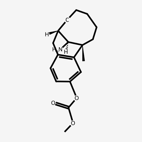 COC(=O)Oc1ccc2c(c1)[C@@]1(C)CCCCC[C@@H](C2)[C@@H]1N